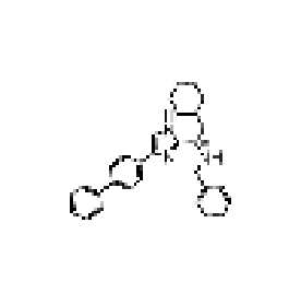 c1ccc(CN[C@H](CC2CCCCC2)c2nc(-c3ccc(-c4ccccc4)cc3)c[nH]2)cc1